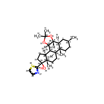 C[C@H]1CC[C@@]2(C)[C@H](C1)[C@H]1OC(C)(C)O[C@@H]1C1[C@@H]2CC[C@@]2(C)[C@H]1CC[C@@]2(O)c1nccs1